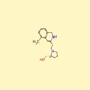 Cc1cccc2c1C=C(CCN1CCC[C@@H]1CO)NC2